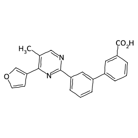 Cc1cnc(-c2cccc(-c3cccc(C(=O)O)c3)c2)nc1-c1ccoc1